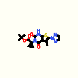 Cc1c(-n2nccn2)sc2[nH]c(=O)n(C3(C(=O)OC(C)(C)C)CC3)c(=O)c12